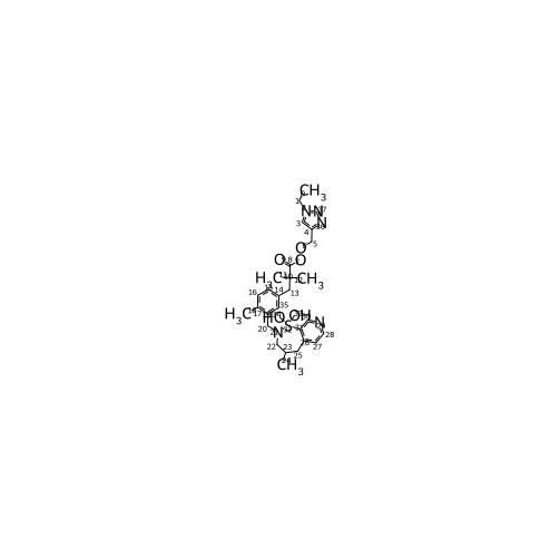 CCn1cc(COOC(=O)C(C)(C)Cc2ccc(C)c(CN3CC(C)Cc4ccncc4S3(O)O)c2)nn1